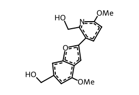 COc1ccc(-c2cc3c(OC)cc(CO)cc3o2)c(CO)n1